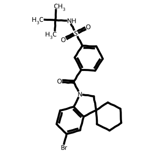 CC(C)(C)NS(=O)(=O)c1cccc(C(=O)N2CC3(CCCCC3)c3cc(Br)ccc32)c1